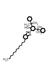 CCCCCCCCCCCCc1ccc2nn(-c3cc(C(C)(C)c4ccccc4)cc(C(C)(C)c4ccccc4)c3O)nc2c1